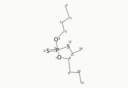 CCCCOP(=S)(OCCCC)SCC